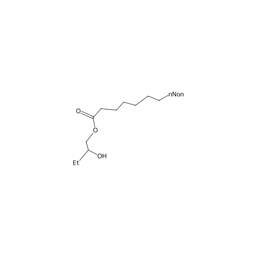 CCCCCCCCCCCCCCCC(=O)OCC(O)CC